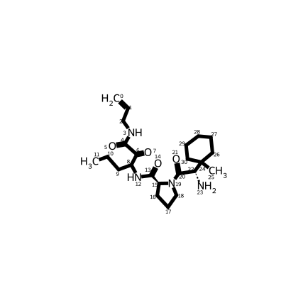 C=CCNC(=O)C(=O)C(CCC)NC(=O)[C@@H]1CCCN1C(=O)[C@@H](N)C1(C)CCCCC1